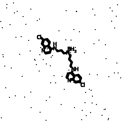 BN(CCCCNc1ccnc2cc(Cl)ccc12)CCCNc1ccnc2cc(Cl)ccc12